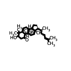 CC(C)=CCC[C@@H](C)[C@H]1CC[C@H]2[C@@H]3CC=C4C(C)(C)[C@H](O)CC(=O)[C@]4(C)[C@H]3CC[C@]12C